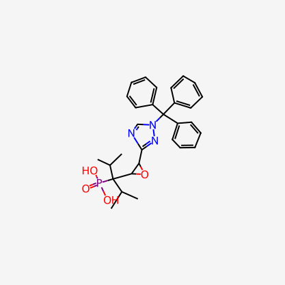 CC(C)C(C(C)C)(C1OC1c1ncn(C(c2ccccc2)(c2ccccc2)c2ccccc2)n1)P(=O)(O)O